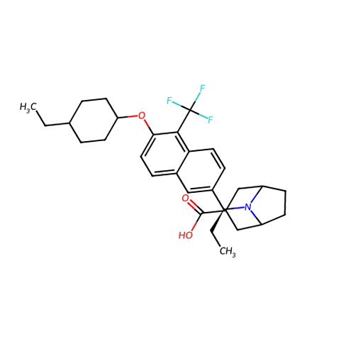 CCC1CCC(Oc2ccc3cc([C@H](CC)N4C5CCC4CC(C(=O)O)C5)ccc3c2C(F)(F)F)CC1